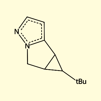 CC(C)(C)C1C2Cn3nccc3C21